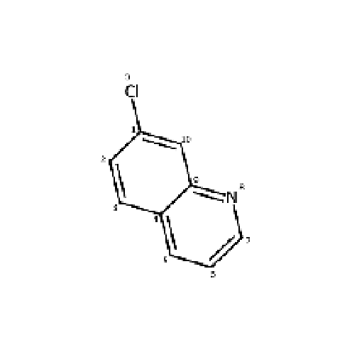 Clc1ccc2cccnc2c1